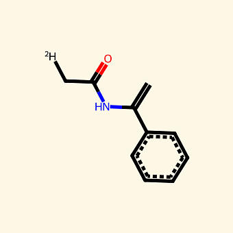 [2H]CC(=O)NC(=C)c1ccccc1